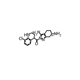 Nc1c2c(nn1C(=O)C1CCNc3c(Cl)cccc31)C[C@H](N)CC2